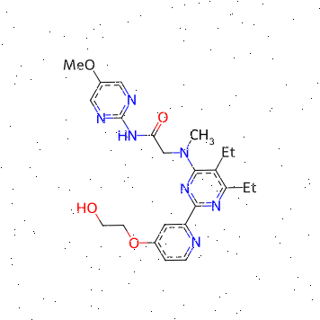 CCc1nc(-c2cc(OCCO)ccn2)nc(N(C)CC(=O)Nc2ncc(OC)cn2)c1CC